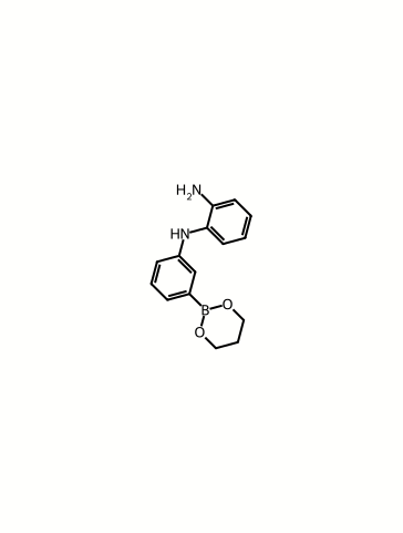 Nc1ccccc1Nc1cccc(B2OCCCO2)c1